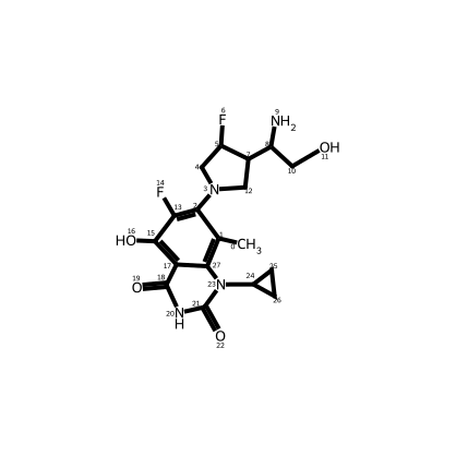 Cc1c(N2CC(F)C(C(N)CO)C2)c(F)c(O)c2c(=O)[nH]c(=O)n(C3CC3)c12